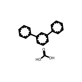 O=C(O)O.c1ccc(-c2cccc(-c3ccccc3)c2)cc1